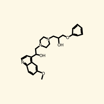 COc1ccc2nccc(C(O)CN3CCN(CC(O)COc4ccccc4)CC3)c2c1